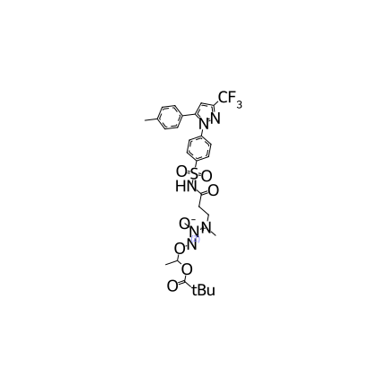 Cc1ccc(-c2cc(C(F)(F)F)nn2-c2ccc(S(=O)(=O)NC(=O)CCN(C)/[N+]([O-])=N/OC(C)OC(=O)C(C)(C)C)cc2)cc1